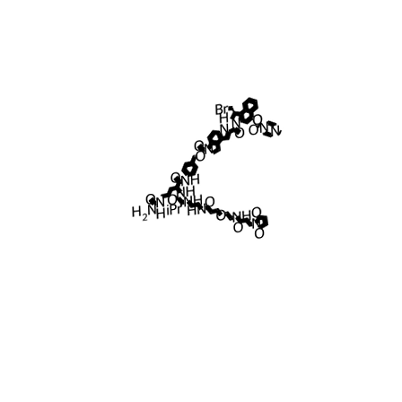 CC(C)[C@H](NCCNC(=O)CCOCCNC(=O)CCN1C(=O)C=CC1=O)C(=O)NC(CCCNC(N)=O)C(=O)Nc1ccc(COC(=O)N2CCc3c2ccc2[nH]c(C(=O)N4C[C@@H](CBr)c5c4cc(OC(=O)N4CCN(C)CC4)c4ccccc54)cc32)cc1